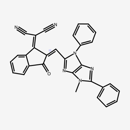 Cn1c(-c2ccccc2)nc2c1nc(/C=C1\C(=O)c3ccccc3C1=C(C#N)C#N)n2-c1ccccc1